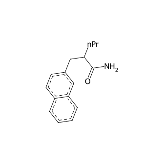 CCCC(Cc1ccc2ccccc2c1)C(N)=O